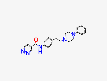 O=C(Nc1ccc(CCN2CCN(c3ccccc3)CC2)cc1)c1ccnnc1